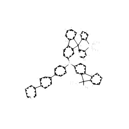 CC1(C)c2ccccc2-c2ccc(N(c3ccc(-c4ccc(-c5ccccc5)cc4)cc3)c3ccc4c(c3)C3(c5ccccc5-4)c4ccccc4[Si](C)(C)c4ccccc43)cc21